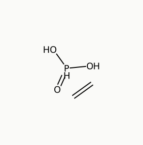 C=C.O=[PH](O)O